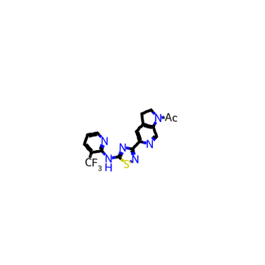 CC(=O)N1CCc2cc(-c3nsc(Nc4ncccc4C(F)(F)F)n3)ncc21